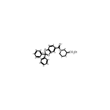 CCOC(=O)C1CCCN(C(=O)c2ccc3c(c2)OC(c2ccccc2)(c2ccccc2)O3)C1